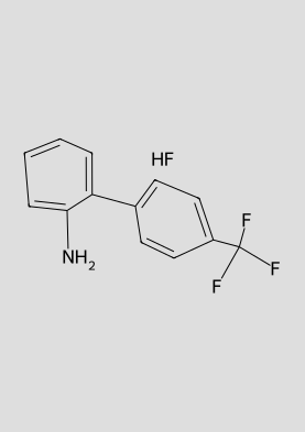 F.Nc1ccccc1-c1ccc(C(F)(F)F)cc1